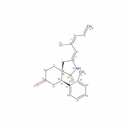 C=C/C=C(Cl)\C=C1/C[C@@]2(CCC(=O)C[C@@H]2c2ccccc2C)C(=O)N1